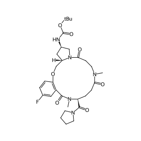 CN1CCC(=O)N2C[C@H](NC(=O)OC(C)(C)C)C[C@H]2COc2ccc(F)cc2C(=O)N(C)[C@H](C(=O)N2CCCC2)CCC1=O